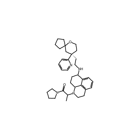 CC(C(=O)N1CCCC1)N1CCc2cccc3c2C1CCC3NCC[C@@]1(c2ccccn2)CCOC2(CCCC2)C1